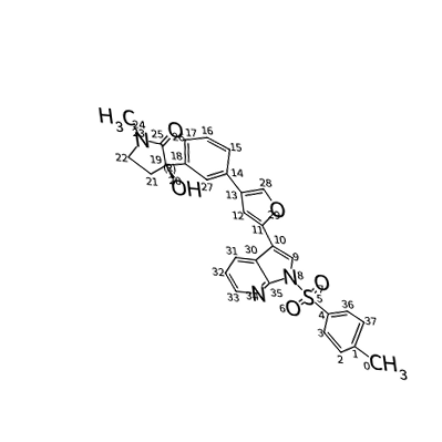 Cc1ccc(S(=O)(=O)n2cc(-c3cc(-c4cccc([C@]5(O)CCN(C)C5=O)c4)co3)c3cccnc32)cc1